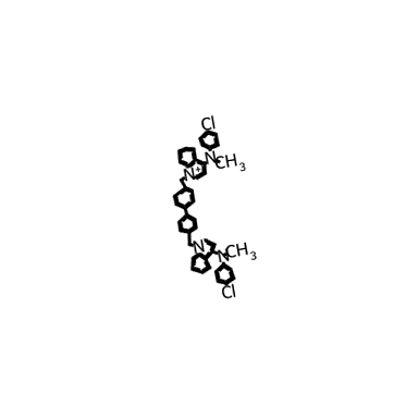 CN(c1ccc(Cl)cc1)c1cc[n+](Cc2ccc(-c3ccc(C[n+]4ccc(N(C)c5ccc(Cl)cc5)c5ccccc54)cc3)cc2)c2ccccc12